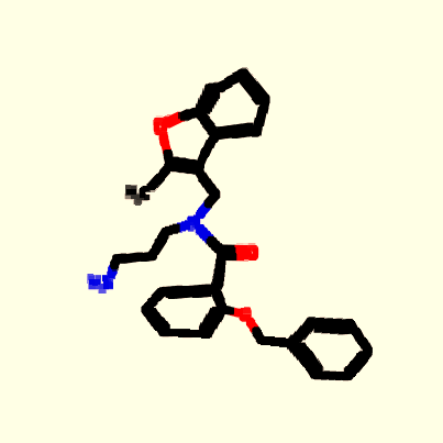 Cc1oc2ccccc2c1CN(CCCN)C(=O)c1ccccc1OCc1ccccc1